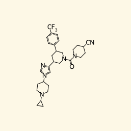 N#CC1CCN(C(=O)N2CC(c3ccc(C(F)(F)F)cc3)CC(c3cn(C4CCN(C5CC5)CC4)cn3)C2)CC1